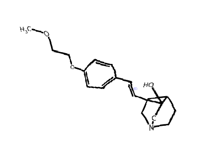 COCCOc1ccc(/C=C/C2(O)CN3CCC2CC3)cc1